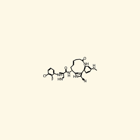 CNc1ccc2c(c1)NC(=O)CC/C=C/C[C@H](NC(=O)/C(C=N)=C/Nc1cccc(Cl)c1F)c1nc-2c(C#N)[nH]1